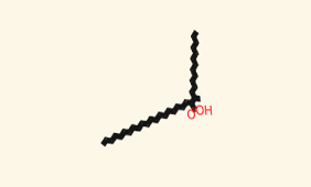 CCCCCCCCCCCCCCCCCCCCC(C(=O)O)C(C)CCCCCCCCCCCC